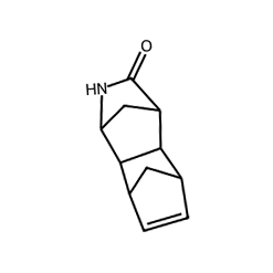 O=C1NC2CC1C1C3C=CC(C3)C21